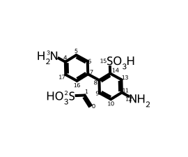 C=CS(=O)(=O)O.Nc1ccc(-c2ccc(N)cc2S(=O)(=O)O)cc1